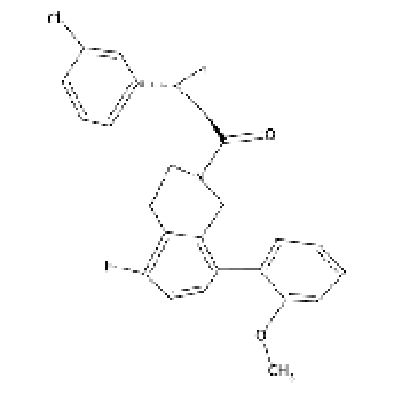 COc1cc[c]cc1-c1ccc(F)c2c1CN(C(=O)[C@@H]1C[C@H]1c1cccc(Cl)c1)CC2